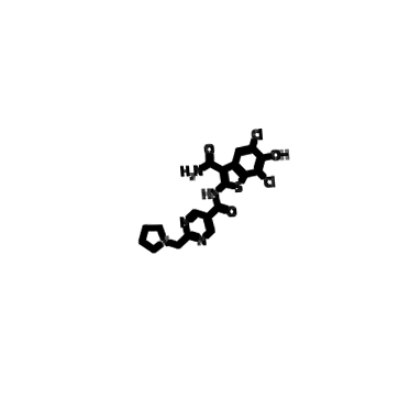 NC(=O)c1c(NC(=O)c2cnc(CN3CCCC3)nc2)sc2c(Cl)c(O)c(Cl)cc12